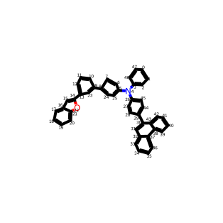 c1ccc(N(c2ccc(-c3cccc(-c4cc5ccccc5o4)c3)cc2)c2ccc(-c3cc4ccccc4c4ccccc34)cc2)cc1